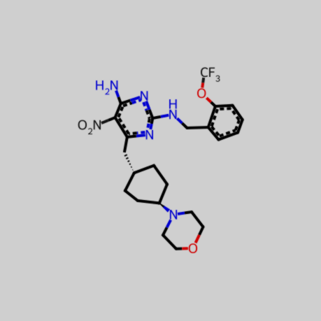 Nc1nc(NCc2ccccc2OC(F)(F)F)nc(C[C@H]2CC[C@H](N3CCOCC3)CC2)c1[N+](=O)[O-]